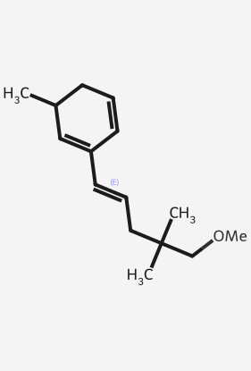 COCC(C)(C)C/C=C/C1=CC(C)CC=C1